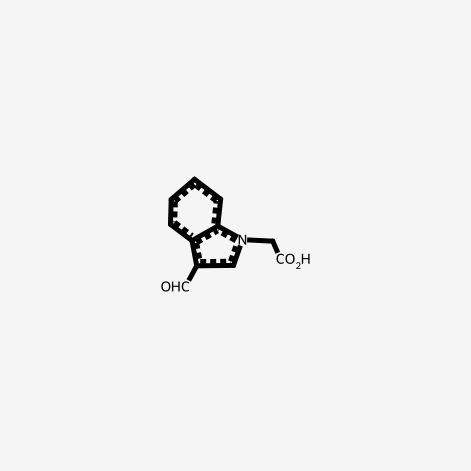 O=Cc1cn(CC(=O)O)c2ccccc12